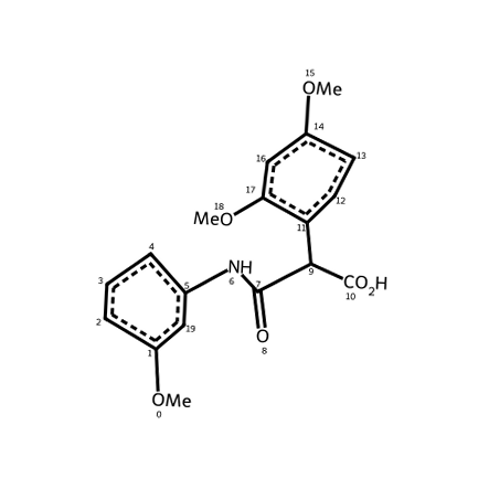 COc1cccc(NC(=O)C(C(=O)O)c2ccc(OC)cc2OC)c1